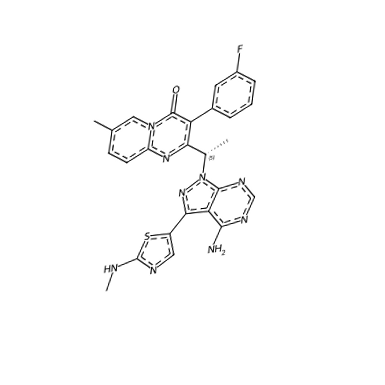 CNc1ncc(-c2nn([C@@H](C)c3nc4ccc(C)cn4c(=O)c3-c3cccc(F)c3)c3ncnc(N)c23)s1